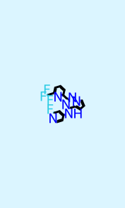 Fc1cc(Nc2nc(-c3cccc(C(F)(F)F)n3)nn3cccc23)ccn1